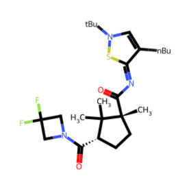 CCCCc1cn(C(C)(C)C)sc1=NC(=O)[C@]1(C)CC[C@H](C(=O)N2CC(F)(F)C2)C1(C)C